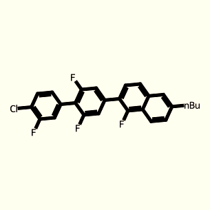 CCCCc1ccc2c(F)c(-c3cc(F)c(-c4ccc(Cl)c(F)c4)c(F)c3)ccc2c1